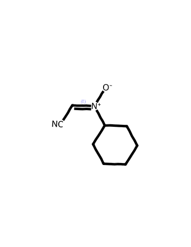 N#C/C=[N+](/[O-])C1CCCCC1